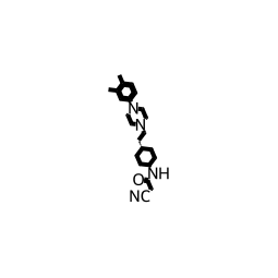 Cc1ccc(N2CCN(CC[C@H]3CC[C@H](NC(=O)CC#N)CC3)CC2)cc1C